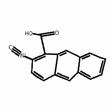 [C-]#[N+]c1ccc2cc3ccccc3cc2c1C(=O)O